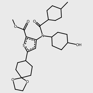 COC(=O)c1sc(C2CCC3(CC2)OCCO3)cc1N(C(=O)C1CCC(C)CC1)C1CCC(O)CC1